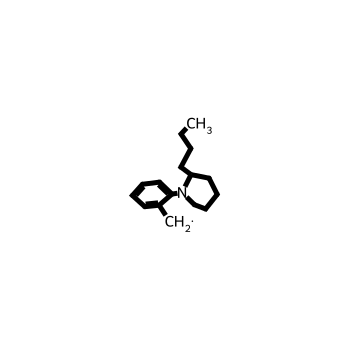 [CH2]c1ccccc1N1CCCCC1CCCC